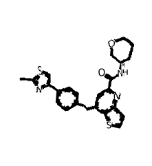 Cc1nc(-c2ccc(Cc3cc(C(=O)N[C@@H]4CCCOC4)nc4ccsc34)cc2)cs1